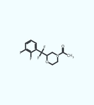 CC(=O)N1CCOC(C(F)(F)c2cccc(I)c2F)C1